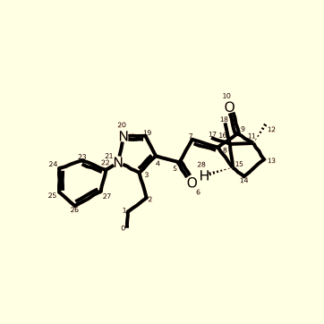 CCCc1c(C(=O)/C=C2/C(=O)[C@@]3(C)CC[C@@H]2C3(C)C)cnn1-c1ccccc1